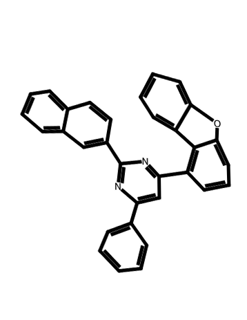 c1ccc(-c2cc(-c3cccc4oc5ccccc5c34)nc(-c3ccc4ccccc4c3)n2)cc1